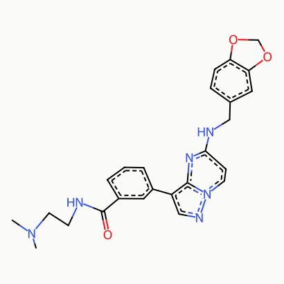 CN(C)CCNC(=O)c1cccc(-c2cnn3ccc(NCc4ccc5c(c4)OCO5)nc23)c1